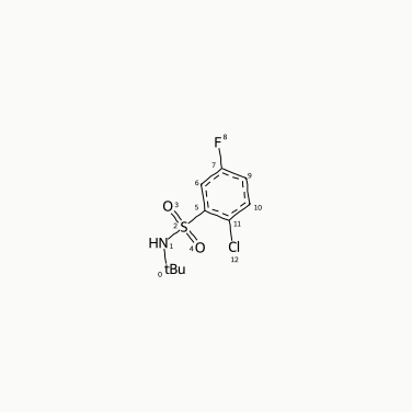 CC(C)(C)NS(=O)(=O)c1cc(F)ccc1Cl